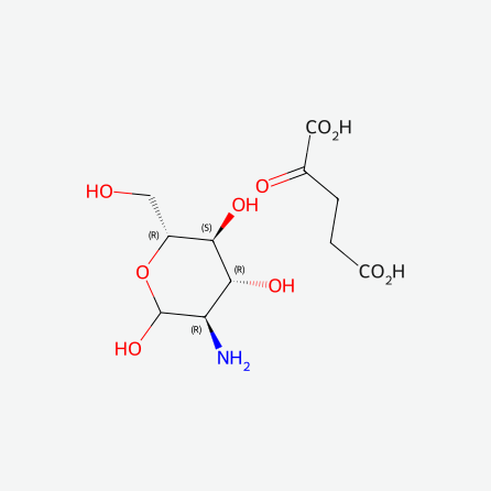 N[C@H]1C(O)O[C@H](CO)[C@@H](O)[C@@H]1O.O=C(O)CCC(=O)C(=O)O